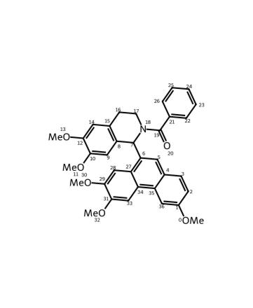 COc1ccc2cc(C3c4cc(OC)c(OC)cc4CCN3C(=O)c3ccccc3)c3cc(OC)c(OC)cc3c2c1